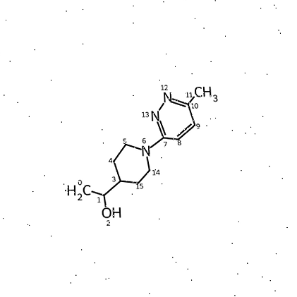 [CH2]C(O)C1CCN(c2ccc(C)nn2)CC1